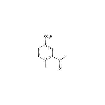 Cc1ccc(C(=O)O)cc1[S+](C)[O-]